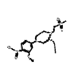 CC[C@H]1CN(c2ccc([N+](=O)[O-])c(OC)c2)CCN1CCS(C)(=O)=O